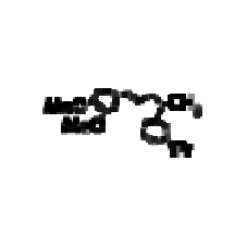 COc1ccc(C=CCC(C)c2cccc(C(C)C)c2)cc1OC